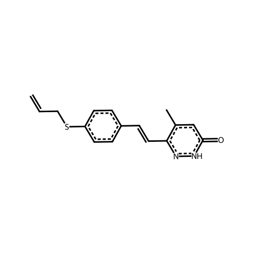 C=CCSc1ccc(C=Cc2n[nH]c(=O)cc2C)cc1